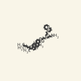 CC(C)CCC[C@@H](C)[C@H]1CC[C@H]2[C@@H]3CC=C4C[C@@H](OC(=O)CCN(CCCN)CCCN5CCCN6CCCCCC65)CC[C@]4(C)[C@H]3CC[C@]12C